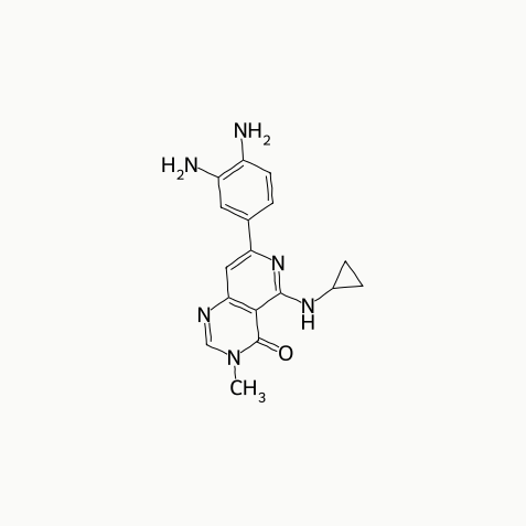 Cn1cnc2cc(-c3ccc(N)c(N)c3)nc(NC3CC3)c2c1=O